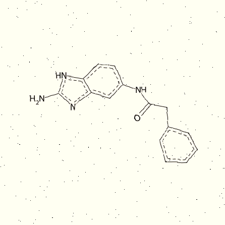 Nc1nc2cc(NC(=O)Cc3ccccc3)ccc2[nH]1